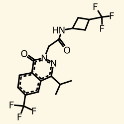 CC(C)c1nn(CC(=O)NC2CC(C(F)(F)F)C2)c(=O)c2ccc(C(F)(F)F)cc12